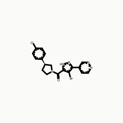 O=C(c1[nH]nc(-c2ccnnc2)c1Br)N1CC[C@@H](c2ccc(Cl)cc2)C1